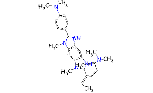 C\C=C(/C=C\C(=C/C)N(C)C)C1Nc2cc3c(cc2N1C)N(C)C(c1ccc(N(C)C)cc1)N3